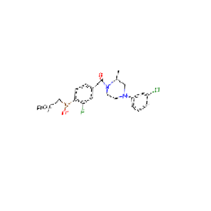 CCOC(=O)C[S+]([O-])c1ccc(C(=O)N2CCN(c3cccc(Cl)c3)CC2C)cc1F